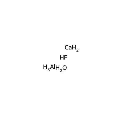 F.O.[AlH3].[CaH2]